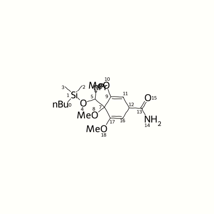 CCCC[Si](C)(C)OC(CCC)C1(OC)C(OC)=CC(C(N)=O)C=C1OC